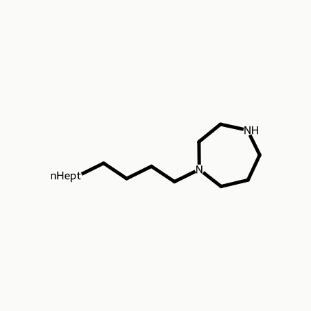 CCCCCCCCCCCN1CCCNCC1